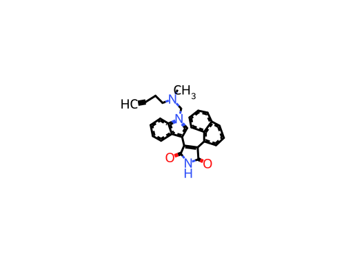 C#CCCN(C)Cn1cc(C2=C(c3cccc4ccccc34)C(=O)NC2=O)c2ccccc21